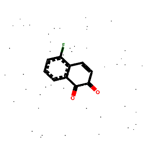 O=C1C=Cc2c(F)cccc2C1=O